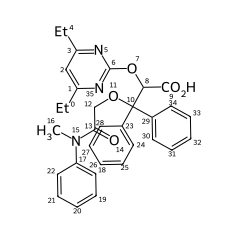 CCc1cc(CC)nc(OC(C(=O)O)C(OCC(=O)N(C)c2ccccc2)(c2ccccc2)c2ccccc2)n1